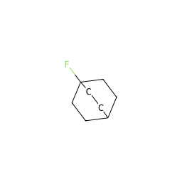 FC12CCC(CC1)CC2